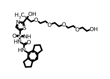 C[C@](O)(COCCOCCOCCOCCO)c1ncc(S(=N)(=O)NC(=O)Nc2c3c(cc4c2CCC4)CCC3)s1